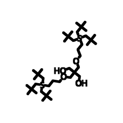 CC(C)(C)CS(CCCOCC(CO)(CO)COCCCS(CC(C)(C)C)(CC(C)(C)C)CC(C)(C)C)(CC(C)(C)C)CC(C)(C)C